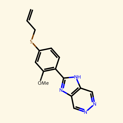 C=CCSc1ccc(-c2nc3cnncc3[nH]2)c(OC)c1